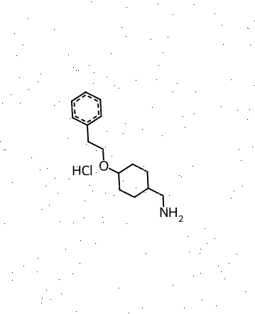 Cl.NCC1CCC(OCCc2ccccc2)CC1